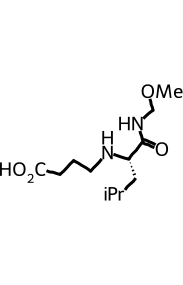 COCNC(=O)[C@H](CC(C)C)NCCCC(=O)O